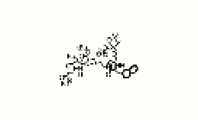 CC(C)(C)OC(=O)CCC(NC(=O)NC(CCCCNC(=O)C(Cc1ccc2ccccc2c1)NC(=O)COCC1(COS(C)(=O)=O)COC(C)(C)OC1)C(=O)OC(C)(C)C)C(=O)OC(C)(C)C